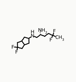 CC(F)(F)CC[C@@H](N)CNC1CC2CC(F)(F)CC2C1